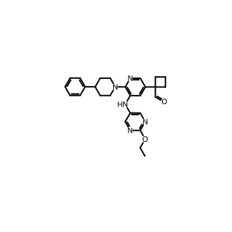 CCOc1ncc(Nc2cc(C3(C=O)CCC3)cnc2N2CCC(c3ccccc3)CC2)cn1